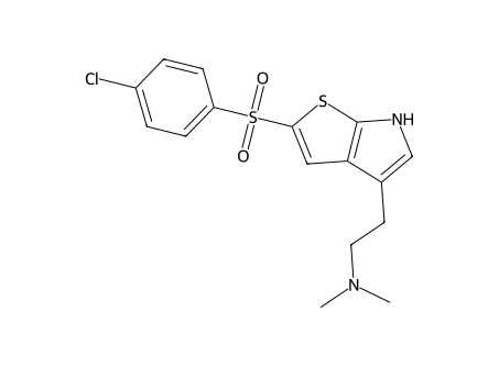 CN(C)CCc1c[nH]c2sc(S(=O)(=O)c3ccc(Cl)cc3)cc12